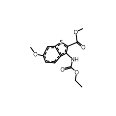 CCOC(=O)Nc1c(C(=O)OC)sc2cc(OC)ccc12